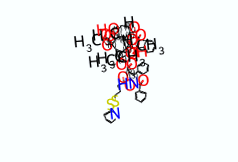 CC(=O)O[C@H]1C(=O)[C@@]2(C)[C@H]([C@H](OC(=O)c3ccccc3)[C@]3(O)C[C@H](OC(=O)[C@H](OC(=O)CCCSSc4ccccn4)[C@@H](NC(=O)c4ccccc4)c4ccccc4)C(C)=C1C3(C)C)[C@]1(OC(C)=O)CO[C@@H]1C[C@@H]2O